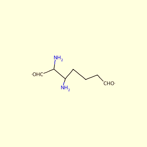 NC([C]=O)C(N)CCC[C]=O